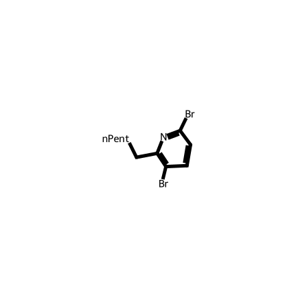 CCCCCCc1nc(Br)ccc1Br